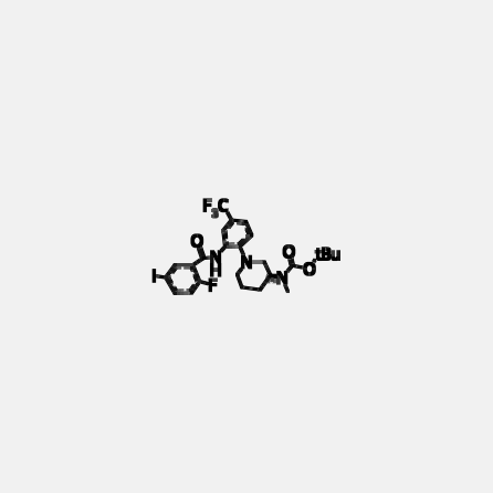 CN(C(=O)OC(C)(C)C)[C@H]1CCCN(c2ccc(C(F)(F)F)cc2NC(=O)c2cc(I)ccc2F)C1